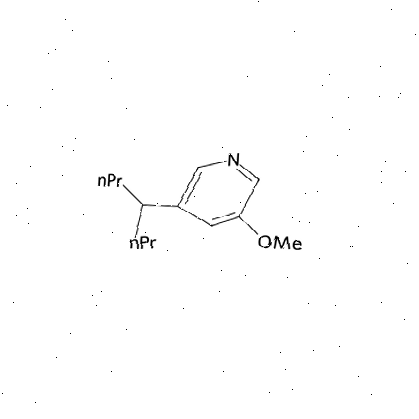 CCCC(CCC)c1cncc(OC)c1